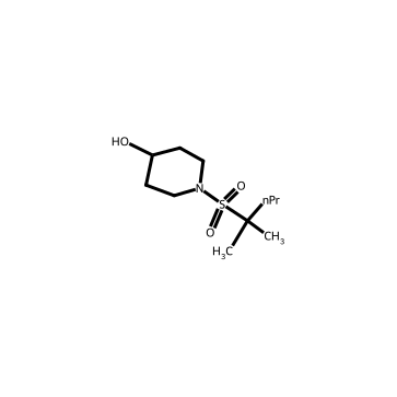 CCCC(C)(C)S(=O)(=O)N1CCC(O)CC1